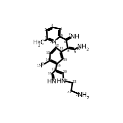 Cc1cccc(C(=N)/C(=C\N)c2ccc(F)c(/C(C=N)=C/NCCN)c2)n1